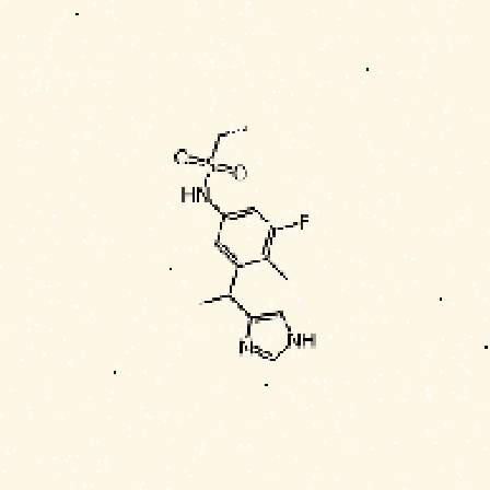 CCS(=O)(=O)Nc1cc(F)c(C)c(C(C)c2c[nH]cn2)c1